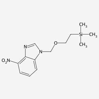 C[Si](C)(C)CCOCn1cnc2c([N+](=O)[O-])cccc21